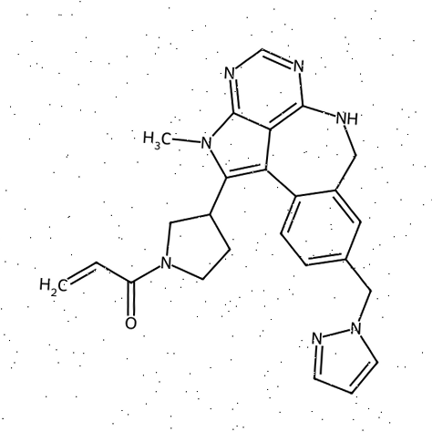 C=CC(=O)N1CCC(c2c3c4c(ncnc4n2C)NCc2cc(Cn4cccn4)ccc2-3)C1